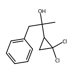 CC(O)(Cc1ccccc1)C1CC1(Cl)Cl